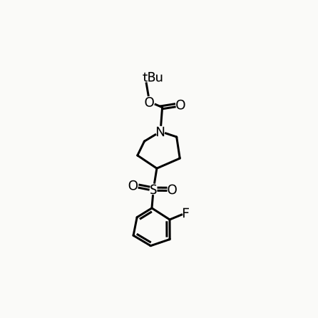 CC(C)(C)OC(=O)N1CCC(S(=O)(=O)c2ccccc2F)CC1